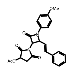 COc1ccc(N2C(=O)C(N3C(=O)CC(OC(C)=O)C3=O)C2/C=C/c2ccccc2)cc1